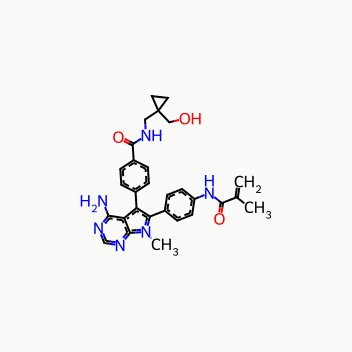 C=C(C)C(=O)Nc1ccc(-c2c(-c3ccc(C(=O)NCC4(CO)CC4)cc3)c3c(N)ncnc3n2C)cc1